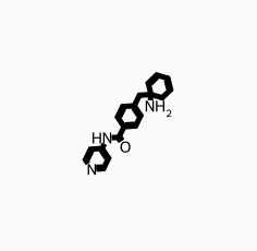 NC1(Cc2ccc(C(=O)Nc3ccncc3)cc2)C=CC=CC1